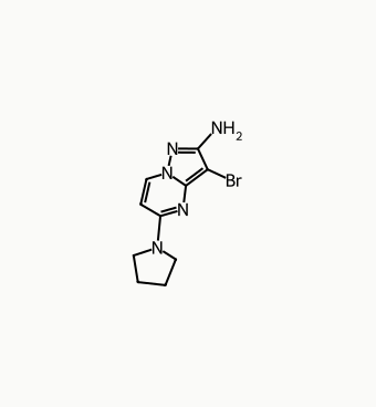 Nc1nn2ccc(N3CCCC3)nc2c1Br